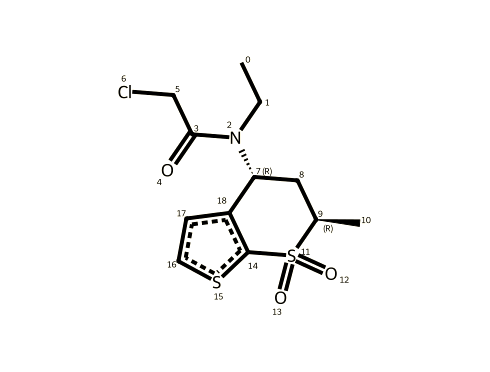 CCN(C(=O)CCl)[C@@H]1C[C@@H](C)S(=O)(=O)c2sccc21